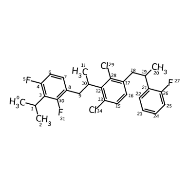 CC(C)c1c(F)ccc(CC(C)c2c(Cl)ccc(CC(C)c3ccccc3F)c2Cl)c1F